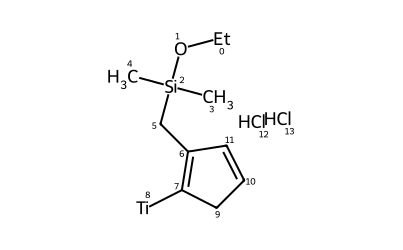 CCO[Si](C)(C)CC1=[C]([Ti])CC=C1.Cl.Cl